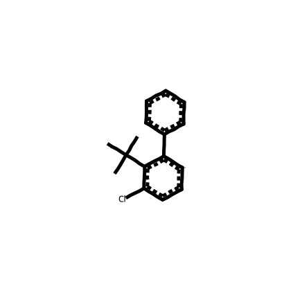 CC(C)(C)c1c(-c2ccccc2)[c]ccc1Cl